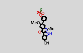 CCCCn1c2cc(-c3cccc(OS(=O)(=O)F)c3)c(OC)cc2c(=O)c2c3ccc(C#N)cc3[nH]c21